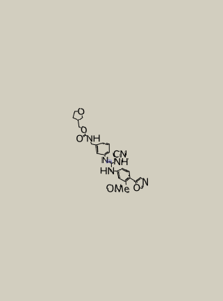 COc1cc(N/C(=N/c2cccc(CNC(=O)OCC3CCOC3)c2)NC#N)ccc1-c1cnco1